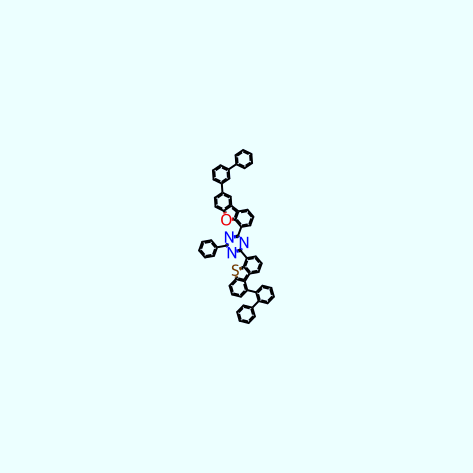 c1ccc(-c2cccc(-c3ccc4oc5c(-c6nc(-c7ccccc7)nc(-c7cccc8c7sc7cccc(-c9ccccc9-c9ccccc9)c78)n6)cccc5c4c3)c2)cc1